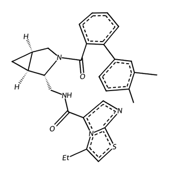 CCc1csc2ncc(C(=O)NC[C@@H]3[C@H]4C[C@H]4CN3C(=O)c3ccccc3-c3ccc(C)c(C)c3)n12